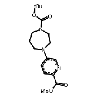 COC(=O)c1ccc(N2CCCN(C(=O)OC(C)(C)C)CC2)cn1